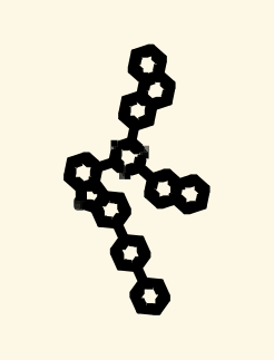 c1ccc(-c2ccc(-c3ccc4c(c3)oc3cccc(-c5nc(-c6ccc7ccccc7c6)nc(-c6ccc7c(ccc8ccccc87)c6)n5)c34)cc2)cc1